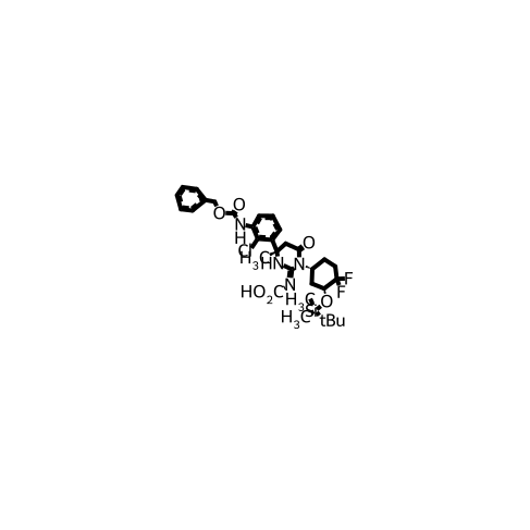 CC(C)(C)[Si](C)(C)O[C@@H]1C[C@H](N2C(=O)C[C@@](C)(c3cccc(NC(=O)OCc4ccccc4)c3Cl)N/C2=N\C(=O)O)CCC1(F)F